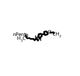 C=CCOc1ccc(-c2ccc3nc(C=CCCCC(C)OCCCCC)cnc3c2)cc1